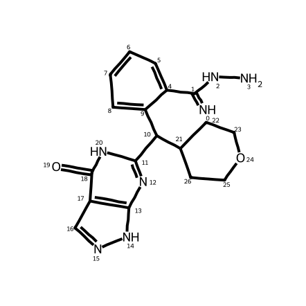 N=C(NN)c1ccccc1C(c1nc2[nH]ncc2c(=O)[nH]1)C1CCOCC1